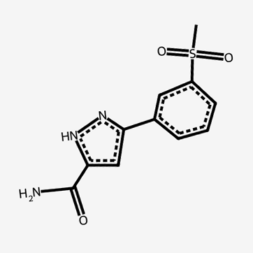 CS(=O)(=O)c1cccc(-c2cc(C(N)=O)[nH]n2)c1